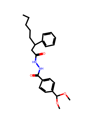 CCCCCC(CC(=O)NNC(=O)c1ccc(C(OC)OC)cc1)c1ccccc1